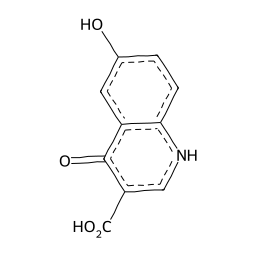 O=C(O)c1c[nH]c2ccc(O)cc2c1=O